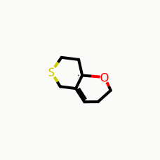 C1=C2CSCC[C]2OCC1